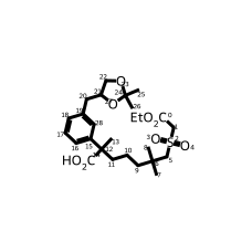 CCOC(=O)CS(=O)(=O)CC(C)(C)CCCC(C)(C(=O)O)c1cccc(CC2COC(C)(C)O2)c1